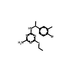 CCSc1nc(N)nc(NC(C)c2ccc(Br)c(C)c2)n1